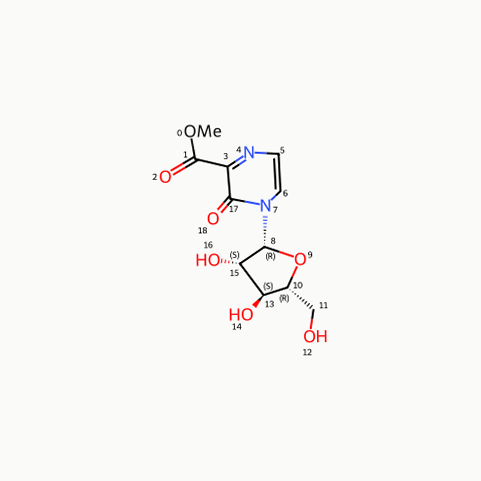 COC(=O)c1nccn([C@@H]2O[C@H](CO)[C@@H](O)[C@@H]2O)c1=O